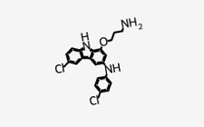 NCCCOc1cc(Nc2ccc(Cl)cc2)cc2c1[nH]c1ccc(Cl)cc12